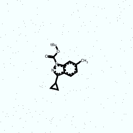 Cc1ccc2c(C3CC3)nn(C(=O)OC(C)(C)C)c2c1